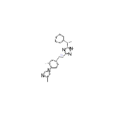 Cc1cn(-c2ccc(/C=C/c3nc(C(C)c4ccccc4)n(C)n3)cc2C)cn1